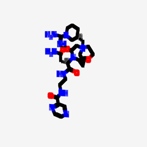 N=C(N)N1CCC[C@H](C[N+]2(CC(=O)N(C3CC3)[C@@H](CC(N)=O)C(=O)NCCNC(=O)c3cnccn3)CCOCC2)C1